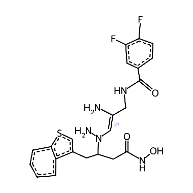 N/C(=C\N(N)C(CC(=O)NO)Cc1csc2ccccc12)CNC(=O)c1ccc(F)c(F)c1